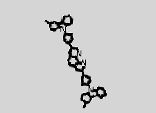 Cc1ccc2c(c1)c1ccccc1n2-c1ccc(-c2cnc3c(ccc4cc(-c5ccc(-n6c7ccccc7c7cc(C)ccc76)cc5)cnc43)c2)cc1